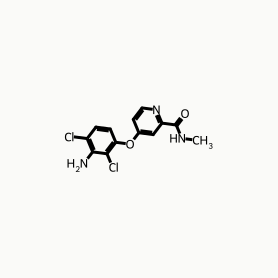 CNC(=O)c1cc(Oc2ccc(Cl)c(N)c2Cl)ccn1